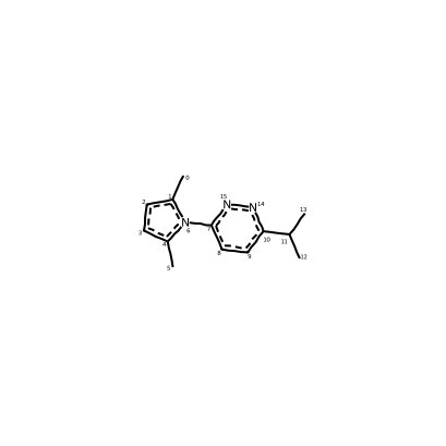 Cc1ccc(C)n1-c1ccc(C(C)C)nn1